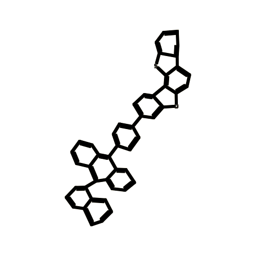 c1ccc2c(-c3c4ccccc4c(-c4ccc(-c5ccc6c(c5)oc5ccc7c8ccccc8sc7c56)cc4)c4ccccc34)cccc2c1